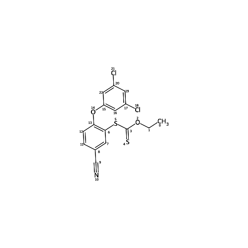 CCOC(=S)Sc1cc(C#N)ccc1Oc1cc(Cl)cc(Cl)c1